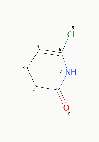 O=C1CCC=C(Cl)N1